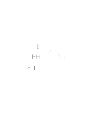 B.B.[Ag+].[Ag+].[O-2]